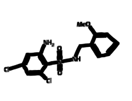 COc1ccccc1CNS(=O)(=O)c1c(N)cc(Cl)cc1Cl